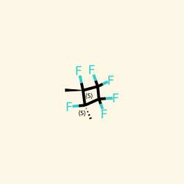 C[C@@]1(F)C(F)(F)C(F)(F)[C@@]1(C)F